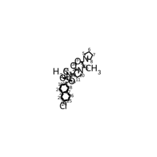 C[C@@H](C(=O)N1CCCC1)N1CC[C@@H](N(C)S(=O)(=O)c2ccc3cc(Cl)ccc3c2)C1=O